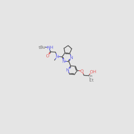 CC[C@@H](O)COc1ccnc(-c2nc3c(c(N(C)CC(=O)NC(C)(C)C)n2)CCC3)c1